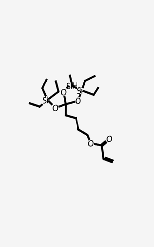 C=CC(=O)OCCCCC(O[SiH3])(O[Si](CC)(CC)CC)O[Si](CC)(CC)CC